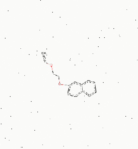 C=COCCOc1ccc2ccccc2c1